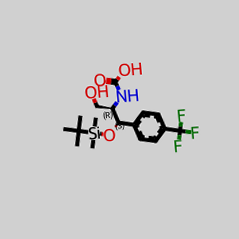 CC(C)(C)[Si](C)(C)O[C@@H](c1ccc(C(F)(F)F)cc1)[C@@H](CO)NC(=O)O